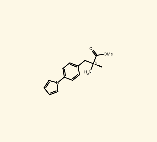 COC(=O)[C@](C)(N)Cc1ccc(-n2cccc2)cc1